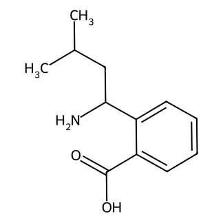 CC(C)CC(N)c1ccccc1C(=O)O